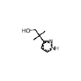 CC(C)(CO)c1cc[nH]n1